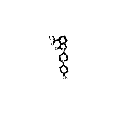 NC(=O)c1cccc2c1C(=O)N(C1CCN(C3CCC(C(F)(F)F)CC3)CC1)C2